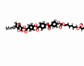 C=CC(=O)OCCCCCCOC(=O)Oc1ccc(C(=O)Oc2ccc(C(=O)Oc3ccc(C(=O)O[C@H]4COC5C4OC[C@@H]5OC)cc3)cc2)cc1